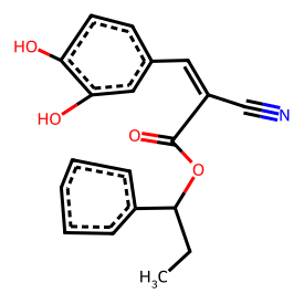 CCC(OC(=O)C(C#N)=Cc1ccc(O)c(O)c1)c1ccccc1